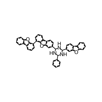 c1ccc(C2NC(c3ccc4c(c3)oc3ccccc34)NC(c3ccc4c(c3)oc3c(-c5cccc6c5oc5ccccc56)cccc34)N2)cc1